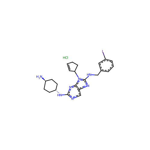 Cl.N[C@H]1CC[C@H](Nc2ncc3nc(NCc4cccc(I)c4)n(C4C=CCC4)c3n2)CC1